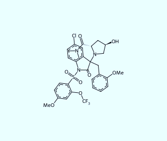 COc1ccc(S(=O)(=O)N2C(=O)C(Cc3ccccc3OC)(N3C[C@H](O)C[C@H]3C(=O)N(C)C)c3cc(Cl)ccc32)c(OC(F)(F)F)c1